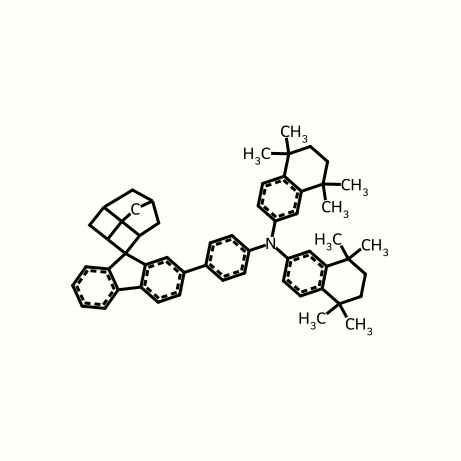 CC1(C)CCC(C)(C)c2cc(N(c3ccc(-c4ccc5c(c4)C4(c6ccccc6-5)C5CC6CC7CC4C75C6)cc3)c3ccc4c(c3)C(C)(C)CCC4(C)C)ccc21